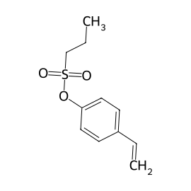 C=Cc1ccc(OS(=O)(=O)CCC)cc1